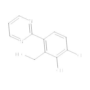 CCc1c(-c2ncccn2)ccc(Cl)c1C